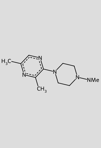 CNN1CCN(c2ncc(C)nc2C)CC1